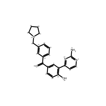 Nc1nccc(-c2cc(C(=O)c3cccc(CN4CCCC4)c3)ccc2O)n1